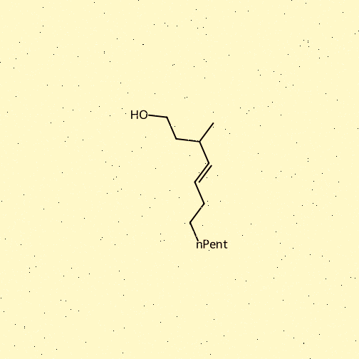 CCCCCCCC=CC(C)CCO